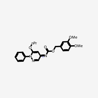 CCCOc1c/c(=N\C(=O)OCc2ccc(OC)c(OC)c2)cnn1-c1ccccc1